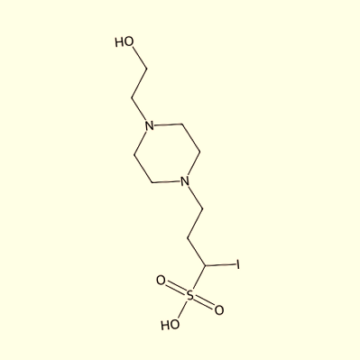 O=S(=O)(O)C(I)CCN1CCN(CCO)CC1